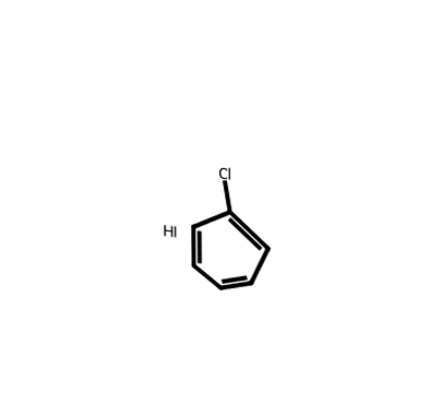 Clc1ccccc1.I